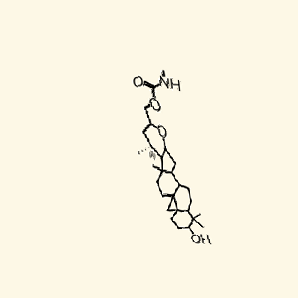 CNC(=O)OCC1C[C@@H](C)C2C(CC3C4CCC5C(C)(C)C(O)CCC56CC46CCC32C)O1